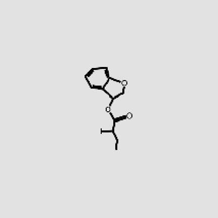 CCC(I)C(=O)OC1COc2ccccc21